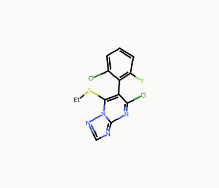 CCSc1c(-c2c(F)cccc2Cl)c(Cl)nc2ncnn12